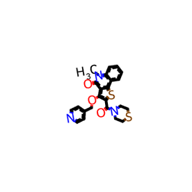 Cn1c(=O)c2c(OCc3ccncc3)c(C(=O)N3CCSCC3)sc2c2ccccc21